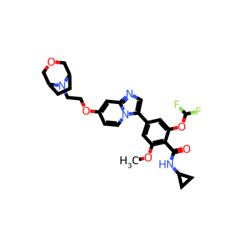 COc1cc(-c2cnc3cc(OCCN4C5CCC4COC5)ccn23)cc(OC(F)F)c1C(=O)NC1CC1